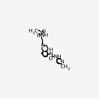 CCS(=O)(=O)NCCCN1CCc2c(cccc2NC(=O)Nc2ccc(C)nc2)C1